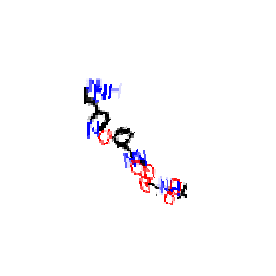 C[C@H](NC(=O)OC(C)(C)C)C(=O)Oc1nc(-c2cccc(Oc3ccc(-c4ccn[nH]4)cn3)c2)no1